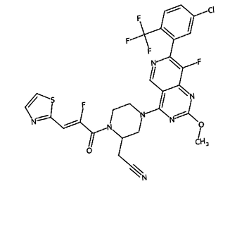 COc1nc(N2CCN(C(=O)/C(F)=C/c3nccs3)C(CC#N)C2)c2cnc(-c3cc(Cl)ccc3C(F)(F)F)c(F)c2n1